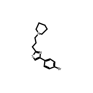 Brc1ccc(-c2csc(CCCN3CCCCC3)n2)cc1